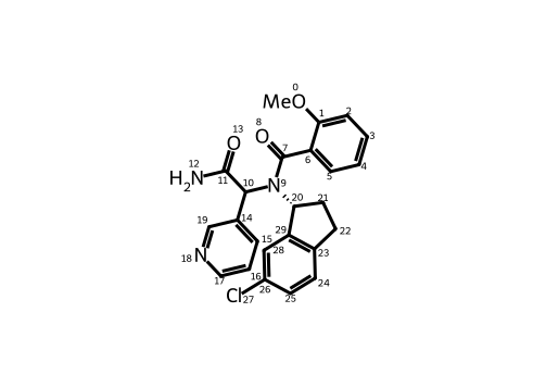 COc1ccccc1C(=O)N(C(C(N)=O)c1cccnc1)[C@@H]1CCc2ccc(Cl)cc21